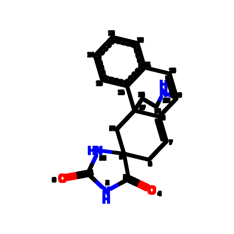 O=C1NC(=O)C2(CC=C3C4=Cc5ccccc5C3(CCN4)C2)N1